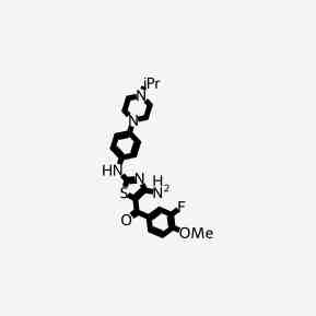 COc1ccc(C(=O)c2sc(Nc3ccc(N4CCN(C(C)C)CC4)cc3)nc2N)cc1F